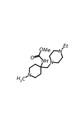 CCN1CCN(CC2(NC(=O)OC)CCN(C)CC2)CC1